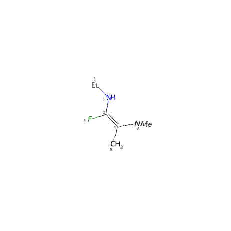 CCN/C(F)=C(/C)NC